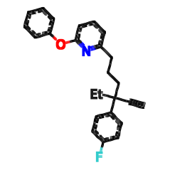 C#CC(CC)(CCCc1cccc(Oc2ccccc2)n1)c1ccc(F)cc1